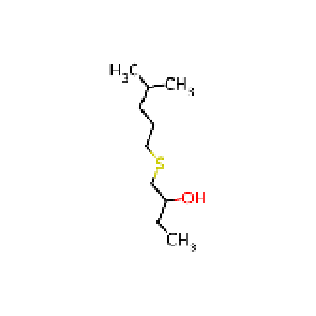 CCC(O)CSCCCC(C)C